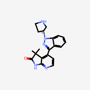 CC1(C)C(=O)Nc2nccc(-c3nn([C@H]4CCNC4)c4ccccc34)c21